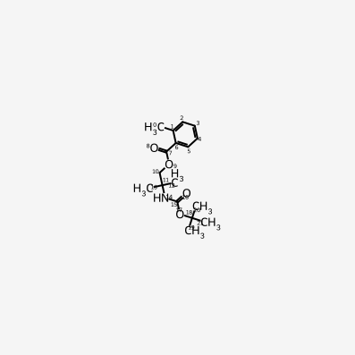 Cc1ccccc1C(=O)OCC(C)(C)NC(=O)OC(C)(C)C